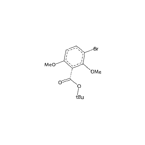 COc1ccc(Br)c(OC)c1C(=O)OC(C)(C)C